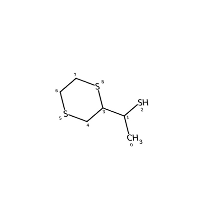 CC(S)C1CSCCS1